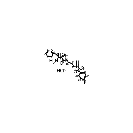 Cl.N[C@@H](Cc1ccccc1)[C@@H](O)C(=O)NCCCNS(=O)(=O)c1ccc(F)cc1